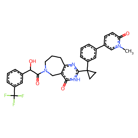 Cn1cc(-c2cccc(C3(c4nc5c(c(=O)[nH]4)CN(C(=O)C(O)c4cccc(C(F)(F)F)c4)CCC5)CC3)c2)ccc1=O